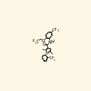 Cc1cc(C(=O)Nc2cc(C(F)(F)F)ccc2OCC(F)(F)F)c(C)n1-c1ccccc1C(F)(F)F